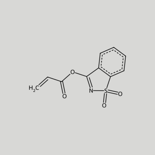 C=CC(=O)OC1=NS(=O)(=O)c2ccccc21